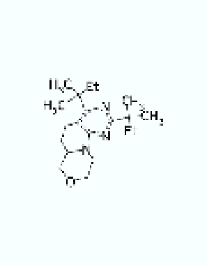 CCC(C)(C)c1nc2c(c(C(C)(C)CC)n1)CCC1COCCN21